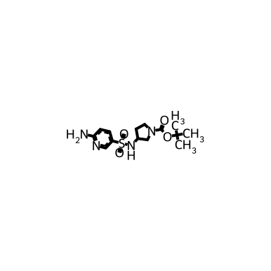 CC(C)(C)OC(=O)N1CCC(NS(=O)(=O)c2ccc(N)nc2)C1